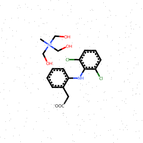 C[N+](CO)(CO)CO.O=C([O-])Cc1ccccc1Nc1c(Cl)cccc1Cl